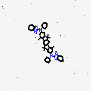 Cc1cc(N(c2ccccc2)c2nc3ccccc3n2C)cc2c1-c1cc3c(cc1C2(C)C)-c1c(C)cc(N(c2ccccc2)c2nc4ccccc4n2C)cc1C3(C)C